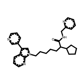 O=C(NCc1ccccn1)C(CCCCCn1cc(-c2cccnc2)c2cccnc21)C1CCCC1